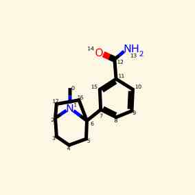 CN1C2CCCC1(c1cccc(C(N)=O)c1)CC2